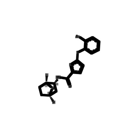 CC(=O)c1ccccc1Sc1ccc(C(=O)N[C@@H]2C[C@H]3CC[C@@H]2N3)s1